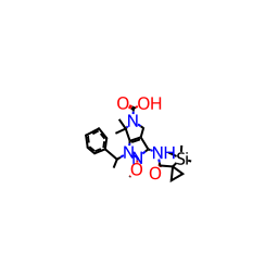 CON1C(NC(=O)C2([Si](C)(C)C)CC2)C2=C(N1C(C)c1ccccc1)C(C)(C)N(C(=O)O)C2